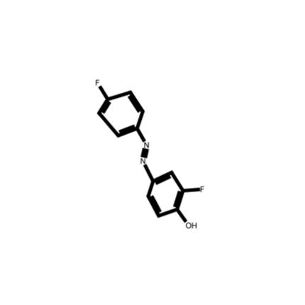 Oc1ccc(N=Nc2ccc(F)cc2)cc1F